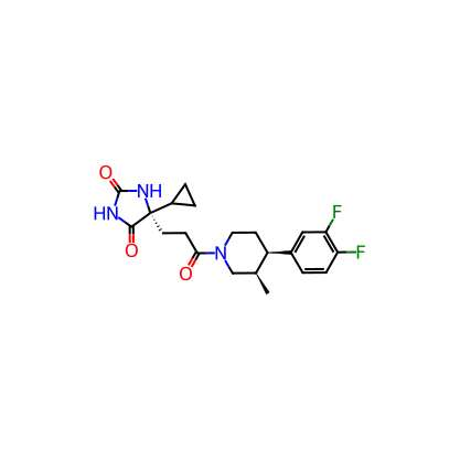 C[C@H]1CN(C(=O)CC[C@@]2(C3CC3)NC(=O)NC2=O)CC[C@H]1c1ccc(F)c(F)c1